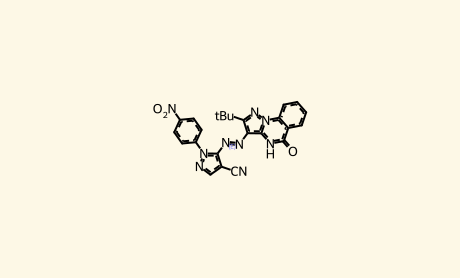 CC(C)(C)c1nn2c([nH]c(=O)c3ccccc32)c1/N=N/c1c(C#N)cnn1-c1ccc([N+](=O)[O-])cc1